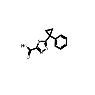 O=C(O)c1nnc(C2(c3ccccc3)CC2)s1